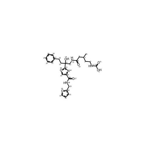 CC(CCNC(=O)O)CC(=O)NCC(O)(CCc1ccccc1)c1nc(C(=O)NCc2ccco2)co1